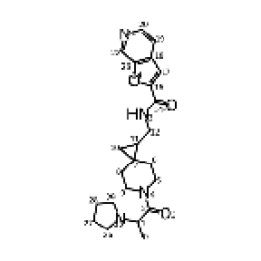 CC(C(=O)N1CCC2(CC1)CC2CNC(=O)c1cc2ccncc2o1)N1CCCC1